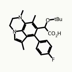 Cc1c(C(OC(C)(C)C)C(=O)O)c(-c2ccc(F)cc2)c2c(C)cn3c2c1N(C)CC3